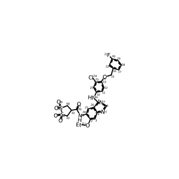 CCOc1cc2ncnc(Nc3ccc(OCc4cccc(F)c4)c(Cl)c3)c2cc1NC(=O)C1CS(=O)(=O)S(=O)(=O)C1